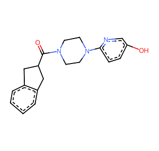 O=C(C1Cc2ccccc2C1)N1CCN(c2ccc(O)cn2)CC1